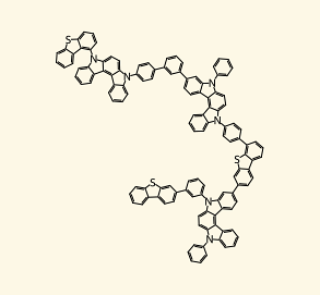 c1ccc(-n2c3ccccc3c3c4c5ccc(-c6ccc7c(c6)sc6c(-c8ccc(-n9c%10ccccc%10c%10c%11c%12ccc(-c%13cccc(-c%14ccc(-n%15c%16ccccc%16c%16c%17c%18ccccc%18n(-c%18cccc%19sc%20ccccc%20c%18%19)c%17ccc%16%15)cc%14)c%13)cc%12n(-c%12ccccc%12)c%11ccc%109)cc8)cccc67)cc5n(-c5cccc(-c6ccc7c(c6)sc6ccccc67)c5)c4ccc32)cc1